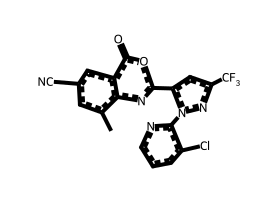 Cc1cc(C#N)cc2c(=O)oc(-c3cc(C(F)(F)F)nn3-c3ncccc3Cl)nc12